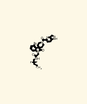 CCCC(F)(F)CNC(=O)CN1C(=O)C2(CCN(C(=O)c3ccc4[nH]ncc4n3)CC2)c2c(Br)cccc21